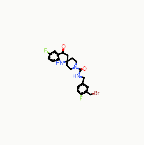 O=C1CC2(CCN(C(=O)NCc3ccc(F)c(CBr)c3)CC2)Nc2ccc(F)cc21